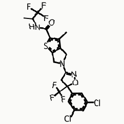 Cc1c(C(=O)NC(C)C(F)(F)F)sc2c1CN(C1=NOC(c3cc(Cl)cc(Cl)c3)(C(F)(F)F)C1)C2